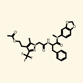 CC(=O)OCCc1c(C(F)(F)F)nn(CC(=O)NC(Cc2ccccc2)C(=O)N(C)c2ccc3c(c2)OCO3)c1C